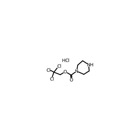 Cl.O=C(OCC(Cl)(Cl)Cl)N1CCNCC1